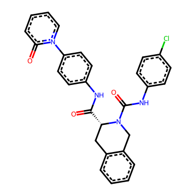 O=C(Nc1ccc(-n2ccccc2=O)cc1)[C@H]1Cc2ccccc2CN1C(=O)Nc1ccc(Cl)cc1